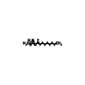 CCCCCCCCC(I)OC(N)CC